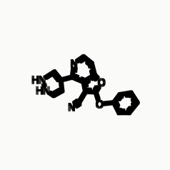 N#Cc1c(Oc2ccccc2)oc2ccnc(C3=CNNC=C3)c12